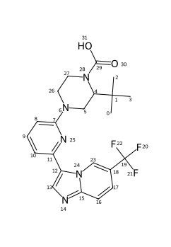 CC(C)(C)C1CN(c2cccc(-c3cnc4ccc(C(F)(F)F)cn34)n2)CCN1C(=O)O